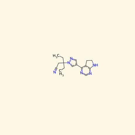 CCC(CC)(CC#N)n1cc(-c2ncnc3c2CCN3)cn1